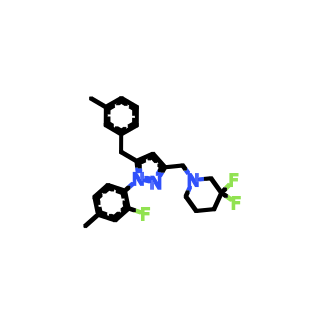 Cc1cccc(Cc2cc(CN3CCCC(F)(F)C3)nn2-c2ccc(C)cc2F)c1